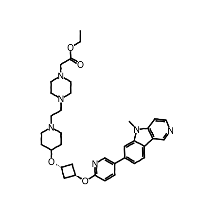 CCOC(=O)CN1CCN(CCN2CCC(O[C@H]3C[C@H](Oc4ccc(-c5ccc6c7cnccc7n(C)c6c5)cn4)C3)CC2)CC1